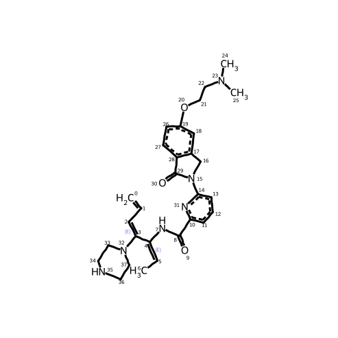 C=C/C=C(\C(=C/C)NC(=O)c1cccc(N2Cc3cc(OCCN(C)C)ccc3C2=O)n1)N1CCNCC1